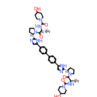 CC(C)[C@@H](NC(=O)N1CCC(O)CC1)C(=O)N1CCC[C@H]1c1ncc(-c2ccc(-c3ccc(-c4cnc([C@@H]5CCCN5C(=O)[C@H](NC(=O)N5CCC(O)CC5)C(C)C)[nH]4)cc3)cc2)[nH]1